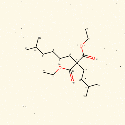 CCOC(=O)C(CCCCC(C)C)(CCC(C)C)C(=O)OCC